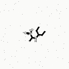 [CH2]C(NC(CC)CC)[N+](=O)[O-]